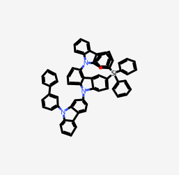 c1ccc(-c2cccc(-n3c4ccccc4c4ccc(-n5c6ccc([Si](c7ccccc7)(c7ccccc7)c7ccccc7)cc6c6c(-n7c8ccccc8c8ccccc87)cccc65)cc43)c2)cc1